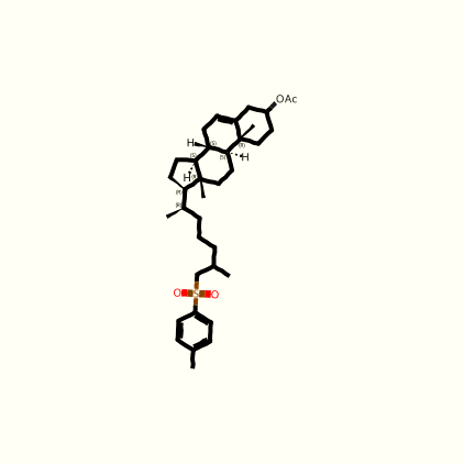 CC(=O)OC1CC[C@@]2(C)C(=CC[C@H]3[C@@H]4CC[C@H]([C@H](C)CCCC(C)CS(=O)(=O)c5ccc(C)cc5)[C@@]4(C)CC[C@@H]32)C1